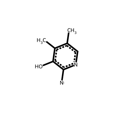 Cc1cnc([N])c(O)c1C